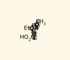 CCc1cc2c(c(N3CCN(CC4(C(=O)O)CC4)CC3)c1)C=Nc1ccc(C)cc1O2